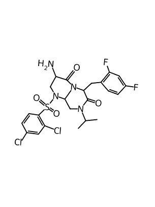 CC(C)N1CC2N(C(=O)C(N)CN2S(=O)(=O)c2ccc(Cl)cc2Cl)C(Cc2ccc(F)cc2F)C1=O